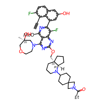 C#Cc1c(F)ccc2cc(O)cc(-c3nc(OC)c4c(N5CCOC[C@@](C)(O)C5)nc(OC[C@]56CCC[C@H]5N(C5CCC7(CC5)CN(C(=O)CC)C7)CCC6)nc4c3F)c12